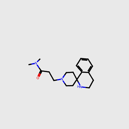 CN(C)C(=O)CCN1CCC2(CC1)NCCc1ccccc12